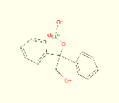 [O-][Cl+2]([O-])OC(CO)(c1ccccc1)c1ccccc1